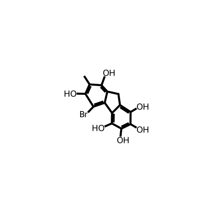 Cc1c(O)c(Br)c2c(c1O)Cc1c(O)c(O)c(O)c(O)c1-2